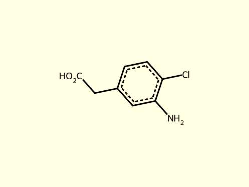 Nc1cc(CC(=O)O)ccc1Cl